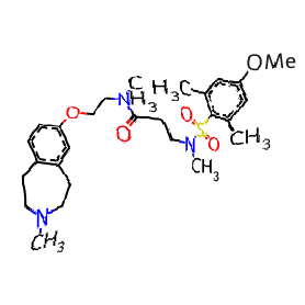 COc1cc(C)c(S(=O)(=O)N(C)CCC(=O)N(C)CCOc2ccc3c(c2)CCN(C)CC3)c(C)c1